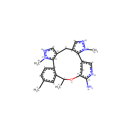 Cc1ccc2c(c1)C(C)Oc1cc(cnc1N)-c1c(cnn1C)Cc1cnn(C)c1-2